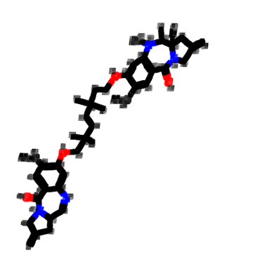 C=C1CC2C=Nc3cc(OCC(C)(C)CCC(C)(C)CCOc4cc5c(cc4OC)C(=O)N4CC(=C)C[C@H]4C(C)N5C(C)CC)c(OC)cc3C(=O)N2C1